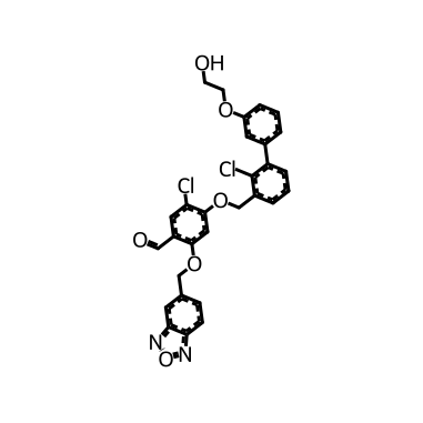 O=Cc1cc(Cl)c(OCc2cccc(-c3cccc(OCCO)c3)c2Cl)cc1OCc1ccc2nonc2c1